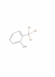 [CH]c1ccccc1C(Br)(Br)Br